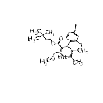 COCC1=C(C(=O)OCCC(C)(C)C)C(c2ccc(F)cc2I)C(C)=C(C)N1